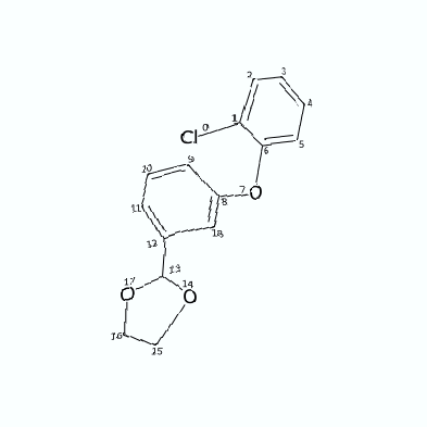 Clc1ccccc1Oc1cccc(C2OCCO2)c1